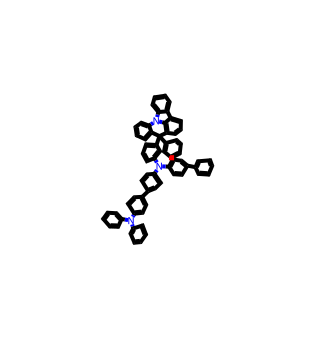 c1ccc(-c2ccc(N(c3ccc(-c4ccc(N(c5ccccc5)c5ccccc5)cc4)cc3)c3cccc(C4(c5ccccc5)c5ccccc5-n5c6ccccc6c6cccc4c65)c3)cc2)cc1